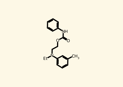 CCN(CCOC(=O)Nc1ccccc1)c1cccc(C)c1